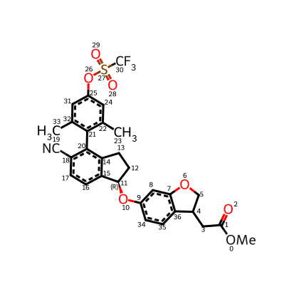 COC(=O)CC1COc2cc(O[C@@H]3CCc4c3ccc(C#N)c4-c3c(C)cc(OS(=O)(=O)C(F)(F)F)cc3C)ccc21